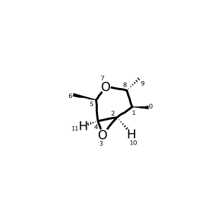 C[C@H]1[C@H]2O[C@H]2[C@@H](C)O[C@@H]1C